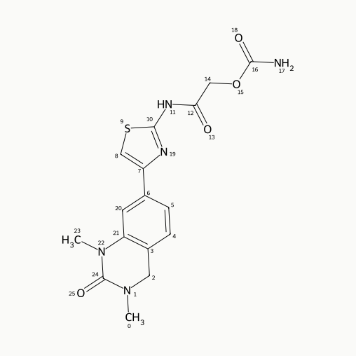 CN1Cc2ccc(-c3csc(NC(=O)COC(N)=O)n3)cc2N(C)C1=O